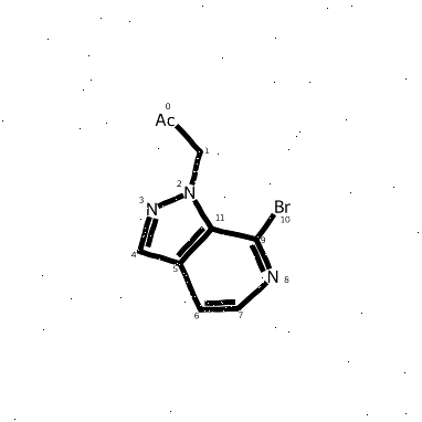 CC(=O)Cn1ncc2ccnc(Br)c21